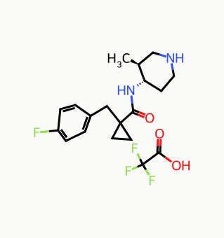 C[C@H]1CNCC[C@@H]1NC(=O)C1(Cc2ccc(F)cc2)CC1.O=C(O)C(F)(F)F